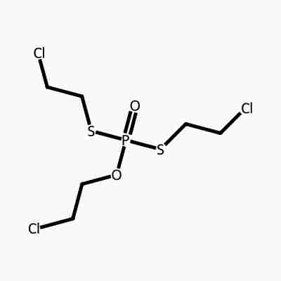 O=P(OCCCl)(SCCCl)SCCCl